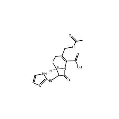 CC(=O)OCC1=C(C(=O)O)N2C(=O)C(Nc3ncc[nH]3)[C@H]2SC1